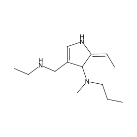 C/C=C1/NC=C(CNCC)C1N(C)CCC